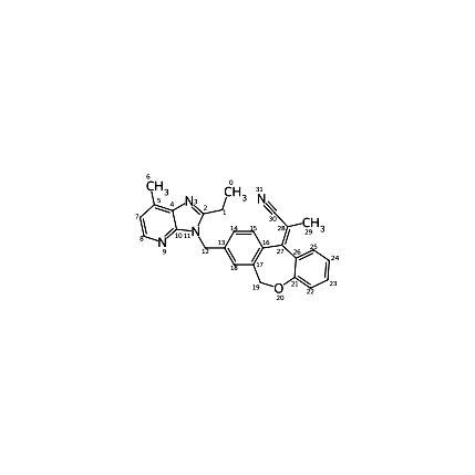 CCc1nc2c(C)ccnc2n1Cc1ccc2c(c1)COc1ccccc1C2=C(C)C#N